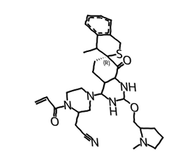 C=CC(=O)N1CCN(C2NC(OCC3CCCN3C)NC3C(=O)[C@]4(CCC32)SCc2ccccc2C4C)CC1CC#N